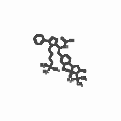 CC(C)(C)N1C(=O)CC(c2ccc(C[C@H](NC(=O)O)c3ncc(-c4ccccc4)n3COCC[Si](C)(C)C)cc2Br)S1(=O)=O